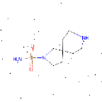 NS(=O)(=O)N1CCC2(CCNCC2)C1